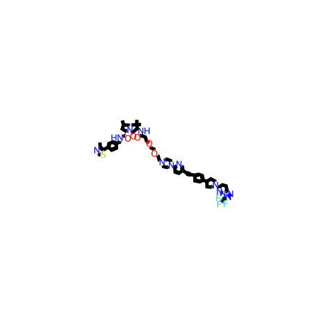 Cc1ncsc1-c1ccc(CNC(=O)[C@@H]2CC(C)CN2C(=O)[C@@H](NC(=O)CCOCCOCCN2CCN(c3ccc(C#Cc4ccc(C5CCN(C6=Nn7c(nnc7C(F)(F)F)CC6)CC5)cc4)cn3)CC2)C(C)(C)C)cc1